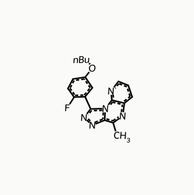 CCCCOc1ccc(F)c(-c2nnc3c(C)nc4cccnc4n23)c1